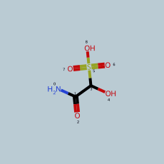 NC(=O)C(O)S(=O)(=O)O